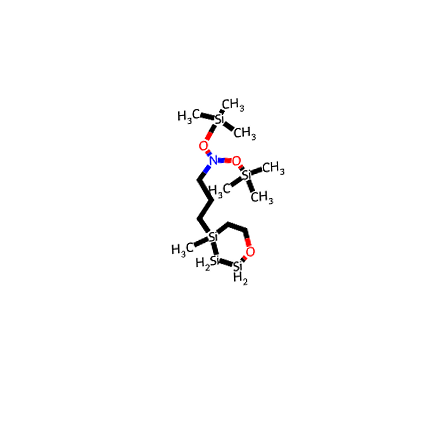 C[Si](C)(C)ON(CCC[Si]1(C)CCO[SiH2][SiH2]1)O[Si](C)(C)C